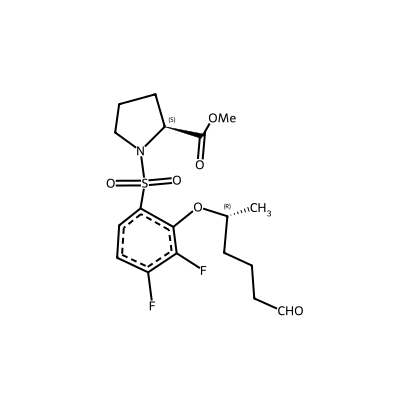 COC(=O)[C@@H]1CCCN1S(=O)(=O)c1ccc(F)c(F)c1O[C@H](C)CCCC=O